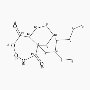 CCCCC(CC)CC12CCCCC1C(=O)OOOC2=O